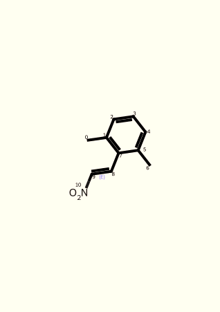 Cc1cccc(C)c1/C=C/[N+](=O)[O-]